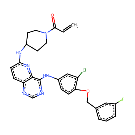 C=CC(=O)N1CCC(Nc2ccc3ncnc(Nc4ccc(OCc5cccc(F)c5)c(Cl)c4)c3n2)CC1